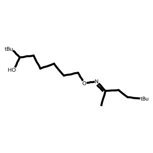 C/C(CCC(C)(C)C)=N\OCCCCCC(O)C(C)(C)C